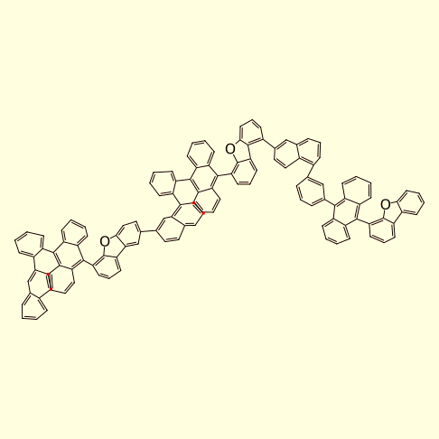 c1cc(-c2cccc3cc(-c4cccc5oc6c(-c7c8ccccc8c(-c8ccccc8-c8cccc9ccc(-c%10ccc%11oc%12c(-c%13c%14ccccc%14c(-c%14ccccc%14-c%14ccc%15ccccc%15c%14)c%14ccccc%13%14)cccc%12c%11c%10)cc89)c8ccccc78)cccc6c45)ccc23)cc(-c2c3ccccc3c(-c3cccc4c3oc3ccccc34)c3ccccc23)c1